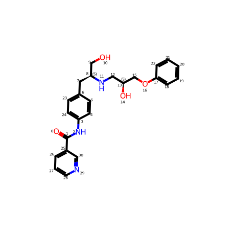 O=C(Nc1ccc(C[C@@H](CO)NC[C@H](O)COc2ccccc2)cc1)c1cccnc1